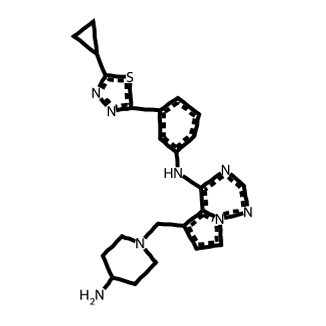 NC1CCN(Cc2ccn3ncnc(Nc4cccc(-c5nnc(C6CC6)s5)c4)c23)CC1